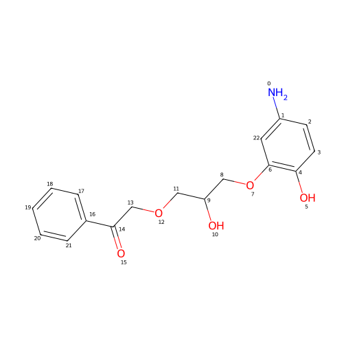 Nc1ccc(O)c(OCC(O)COCC(=O)c2ccccc2)c1